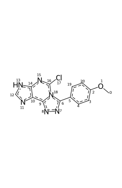 COc1ccc(-c2nnc3c4nc[nH]c4nc(Cl)n23)cc1